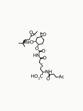 CO[C@H]1[C@H](C2(C)O[C@@H]2CC=C(C)C)[C@]2(CC[C@H]1OC(=O)NC(=O)CSC[C@@H](NC(=O)CCC(C)=O)C(=O)O)CO2